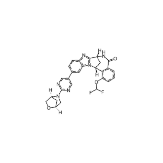 O=C1N[C@@H]2C[C@H](c3c(OC(F)F)cccc31)n1c2nc2ccc(-c3cnc(N4C[C@@H]5C[C@H]4CO5)nc3)cc21